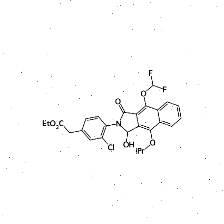 CCOC(=O)Cc1ccc(N2C(=O)c3c(c(OC(C)C)c4ccccc4c3OC(F)F)C2O)c(Cl)c1